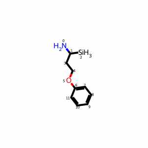 NC([SiH3])CCOc1ccccc1